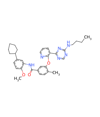 CCCCNc1ncnc(-c2cccnc2Oc2cc(C(=O)Nc3cc(C4CCCCC4)ccc3OC)ccc2C)n1